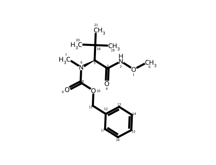 CONC(=O)[C@@H](N(C)C(=O)OCc1ccccc1)C(C)(C)C